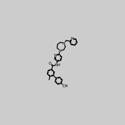 Cc1ccc(C(=O)Nc2ccc(N3CCCN(Cc4ccccn4)CC3)nc2)cc1-c1ccc(C#N)cc1